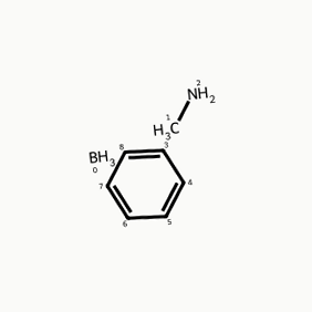 B.CN.c1ccccc1